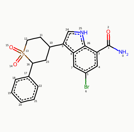 NC(=O)c1cc(Br)cc2c(C3CCS(=O)(=O)C(c4ccccc4)C3)c[nH]c12